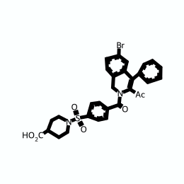 CC(=O)C1=C(c2ccccc2)c2cc(Br)ccc2CN1C(=O)c1ccc(S(=O)(=O)N2CCC(C(=O)O)CC2)cc1